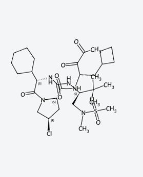 CC(=O)C(=O)C(CC1CCC1)NC(=O)[C@@H]1C[C@@H](Cl)CN1C(=O)[C@@H](NC(=O)N[C@H](CN(C)S(C)(=O)=O)C(C)(C)C)C1CCCCC1